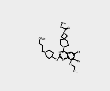 CCc1cc2c(N3CCC4(CC3)CN(C(=O)OC(C)(C)C)C4)nc(OC3CCN(CCCOC)CC3)nc2c(OCC(F)(F)F)c1Br